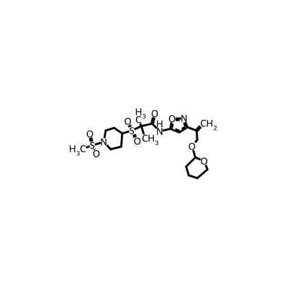 C=C(COC1CCCCO1)c1cc(NC(=O)C(C)(C)S(=O)(=O)C2CCN(S(C)(=O)=O)CC2)on1